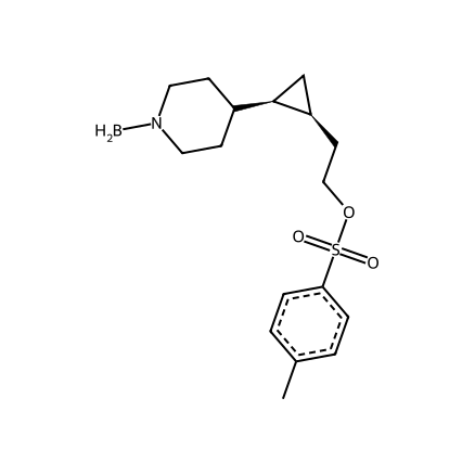 BN1CCC([C@H]2C[C@H]2CCOS(=O)(=O)c2ccc(C)cc2)CC1